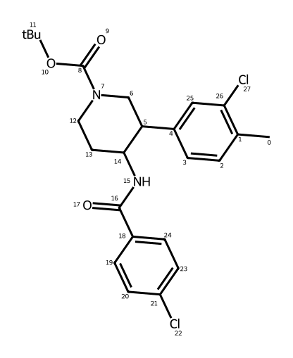 Cc1ccc(C2CN(C(=O)OC(C)(C)C)CCC2NC(=O)c2ccc(Cl)cc2)cc1Cl